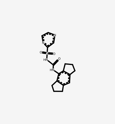 O=C(Nc1c2c(cc3c1CCC3)CCC2)NS(=O)(=O)c1cnccn1